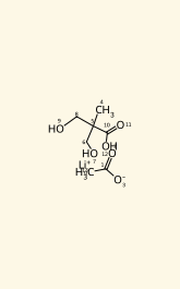 CC(=O)[O-].CC(CO)(CO)C(=O)O.[Li+]